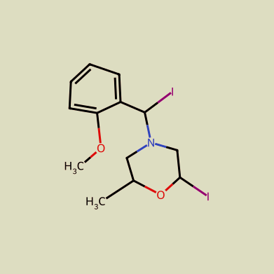 COc1ccccc1C(I)N1CC(C)OC(I)C1